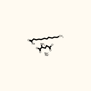 CCCCCCCCCCC[C](=O)[Na].NC(CCC(=O)[O-])C(=O)[O-].[Na+].[Na+]